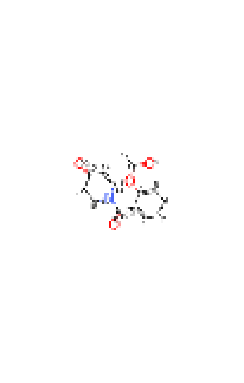 CC(=O)Oc1ccccc1C(=O)N1C=CC(=O)CC1